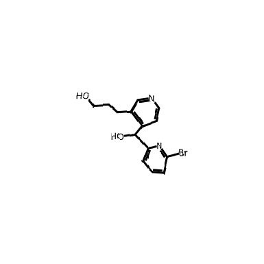 OCCCc1cnccc1C(O)c1cccc(Br)n1